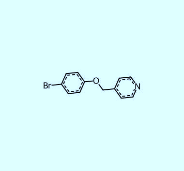 Brc1ccc(OCc2ccncc2)cc1